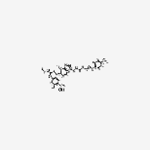 CCOC(=O)CC(c1ccc(C)c(C(C)O)c1)c1ccc2c(nnn2CCCCCOCc2ccc(OC)cc2)c1C